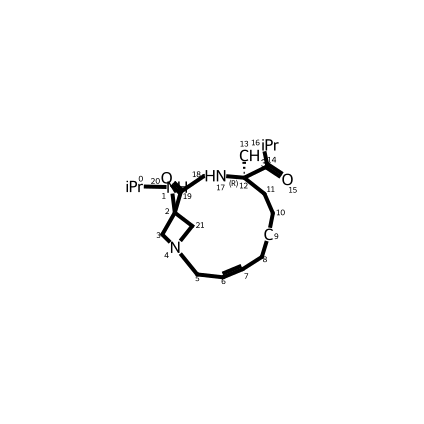 CC(C)NC12CN(CC=CCCCC[C@](C)(C(=O)C(C)C)NCC1=O)C2